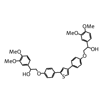 COc1ccc(C(O)COc2ccc(-c3csc(-c4ccc(OCC(O)c5ccc(OC)c(OC)c5)cc4)c3)cc2)cc1OC